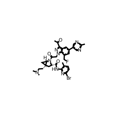 CC(=O)c1nn(CC(=O)N2[C@H](C(=O)Nc3nc(Br)ccc3C)C[C@@]3(CCN(C)C)C[C@@H]23)c2c(CF)cc(-c3cnc(C)nc3)cc12